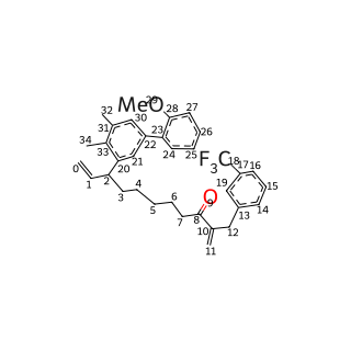 C=CC(CCCCCC(=O)C(=C)Cc1cccc(C(F)(F)F)c1)c1cc(-c2ccccc2OC)cc(C)c1C